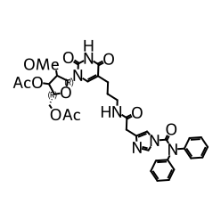 COC1C(OC(C)=O)[C@@H](COC(C)=O)O[C@H]1n1cc(CCCNC(=O)Cc2cn(C(=O)N(c3ccccc3)c3ccccc3)cn2)c(=O)[nH]c1=O